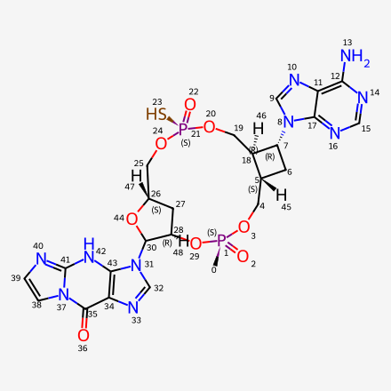 C[P@]1(=O)OC[C@H]2C[C@@H](n3cnc4c(N)ncnc43)[C@@H]2CO[P@](=O)(S)OC[C@@H]2C[C@@H](O1)C(n1cnc3c(=O)n4ccnc4[nH]c31)O2